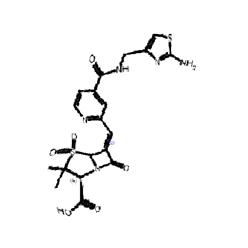 CC1(C)[C@H](C(=O)O)N2C(=O)/C(=C/c3cc(C(=O)NCc4csc(N)n4)ccn3)C2S1(=O)=O